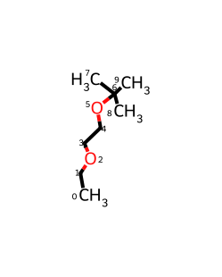 CCO[CH]COC(C)(C)C